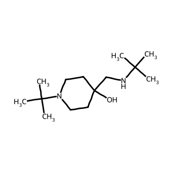 CC(C)(C)NCC1(O)CCN(C(C)(C)C)CC1